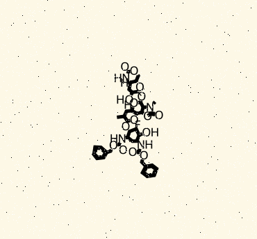 CC1C[C@@H]2OC(O[C@H]3OC4COC(=O)N[C@H]4CC3O)C3C(OC(=O)N3C)C2O[C@@H]1O[C@@H]1C(NC(=O)OCc2ccccc2)C[C@@H](NC(=O)OCc2ccccc2)C(O)[C@H]1F